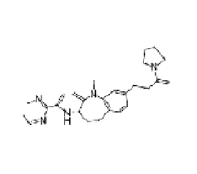 C=C(N[C@H]1CCc2ccc(CCC(=C)N3CCCC3)cc2N(C)C1=C)C(/N=C\C)=N/C